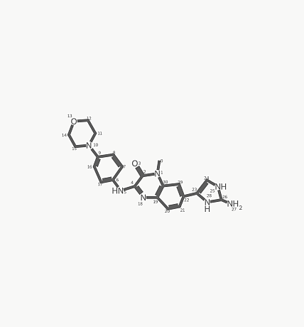 Cn1c(=O)c(Nc2ccc(N3CCOCC3)cc2)nc2ccc(C3=CNC(N)N3)cc21